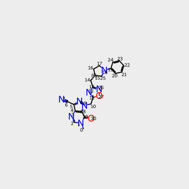 Cn1cnc2c(C#N)nn(Cc3nc(C[C@H]4CCN(c5ccccc5)C4)no3)c2c1=O